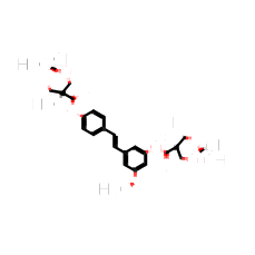 COc1cc(/C=C/c2ccc(OC(=O)C3(C)COC(C)(C)OC3)cc2)cc(OC(=O)C2(C)COC(C)(C)OC2)c1